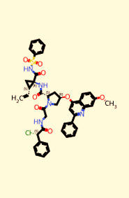 C=C[C@@H]1C[C@]1(NC(=O)[C@@H]1C[C@@H](Oc2cc(-c3ccccc3)nc3cc(OC)ccc23)CN1C(=O)CNC(=O)[C@@H](Cl)c1ccccc1)C(=O)NS(=O)(=O)c1ccccc1